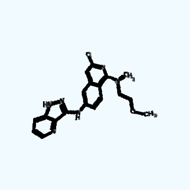 COCCN(C)c1nc(Cl)cc2cc(Nc3n[nH]c4cccnc34)ccc12